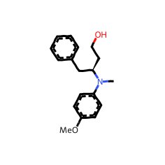 COc1ccc(N(C)[C@H](CCO)Cc2ccccc2)cc1